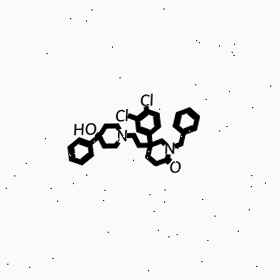 O=C1CCC(CCN2CCC(O)(c3ccccc3)CC2)(c2ccc(Cl)c(Cl)c2)CN1Cc1ccccc1